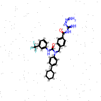 N=C(/N=N\N)NC(=O)c1ccc(CN(C(=O)Nc2cccc(C(F)(F)F)c2)c2ccc(C3CCCCC3)cc2)cc1